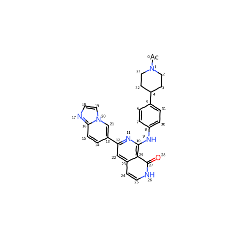 CC(=O)N1CCC(c2ccc(Nc3nc(-c4ccc5nccn5c4)cc4cc[nH]c(=O)c34)cc2)CC1